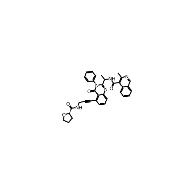 Cc1ncc2ccccc2c1C(=O)NC(C)c1nc2cccc(C#CCNC(=O)[C@H]3CCCO3)c2c(=O)n1-c1ccccc1